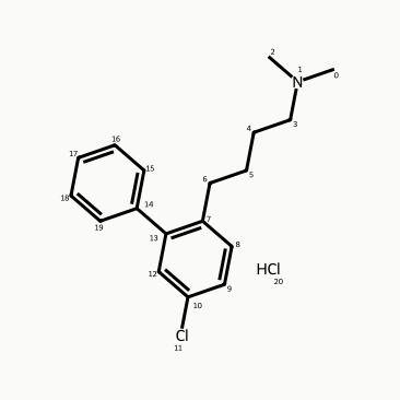 CN(C)CCCCc1ccc(Cl)cc1-c1ccccc1.Cl